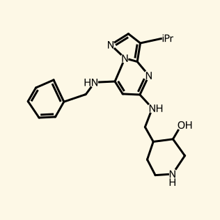 CC(C)c1cnn2c(NCc3ccccc3)cc(NCC3CCNCC3O)nc12